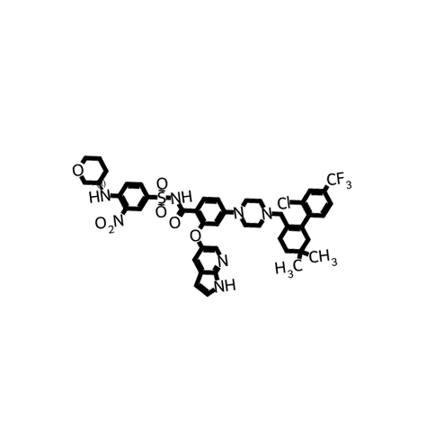 CC1(C)CCC(CN2CCN(c3ccc(C(=O)NS(=O)(=O)c4ccc(N[C@@H]5CCCOC5)c([N+](=O)[O-])c4)c(Oc4cnc5[nH]ccc5c4)c3)CC2)=C(c2ccc(C(F)(F)F)cc2Cl)C1